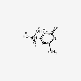 Nc1cc[nH]c(=O)n1.O=[PH](O)O